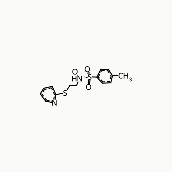 Cc1ccc(S(=O)(=O)[NH+]([O-])CCSc2ccccn2)cc1